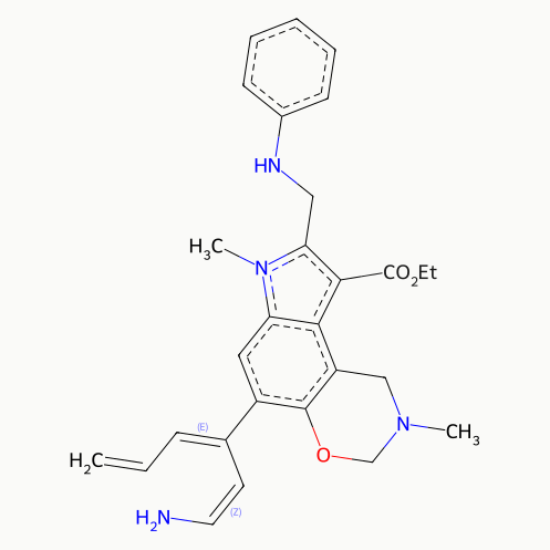 C=C/C=C(\C=C/N)c1cc2c(c3c1OCN(C)C3)c(C(=O)OCC)c(CNc1ccccc1)n2C